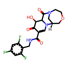 O=C(NCc1c(F)cc(F)cc1F)C1=CN2C(C(=O)N3CCOC[C@H]2C3)C(O)C1=O